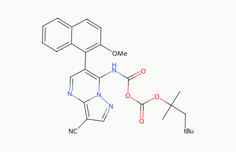 COc1ccc2ccccc2c1-c1cnc2c(C#N)cnn2c1NC(=O)OC(=O)OC(C)(C)CC(C)(C)C